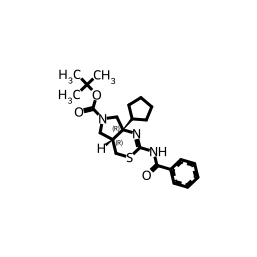 CC(C)(C)OC(=O)N1C[C@H]2CSC(NC(=O)c3ccccc3)=N[C@@]2(C2CCCC2)C1